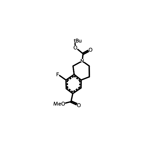 COC(=O)c1cc(F)c2c(c1)CCN(C(=O)OC(C)(C)C)C2